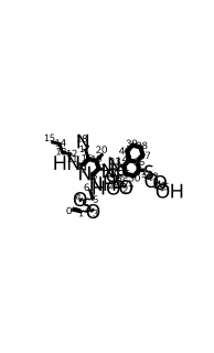 C=CS(=O)(=O)CCNc1nc(NCCCC)c(C#N)c(C)c1/N=N/c1c(S(=O)(=O)O)cc(SOOO)c2ccccc12